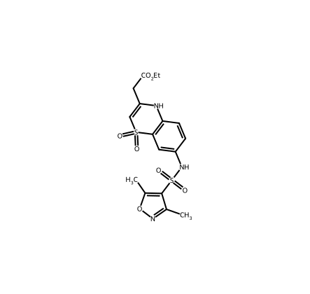 CCOC(=O)CC1=CS(=O)(=O)c2cc(NS(=O)(=O)c3c(C)noc3C)ccc2N1